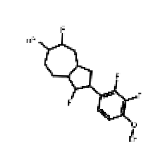 CCCC1CCC2C(CC1F)CC(c1ccc(OCC)c(F)c1F)C2F